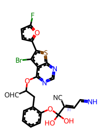 N#C/C(=C\C=N)C(O)(O)Oc1ccccc1CC(C=O)Oc1ncnc2sc(-c3ccc(F)o3)c(Br)c12